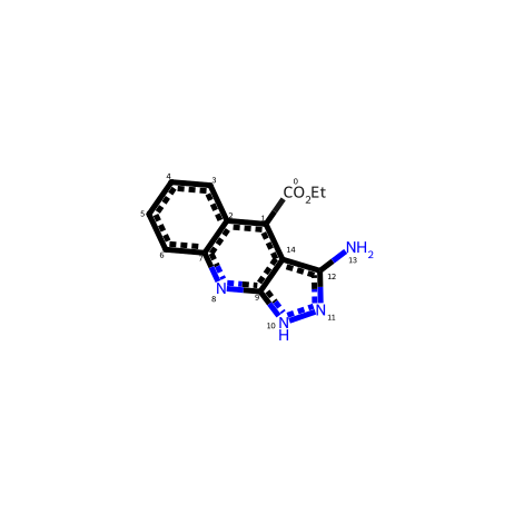 CCOC(=O)c1c2ccccc2nc2[nH]nc(N)c12